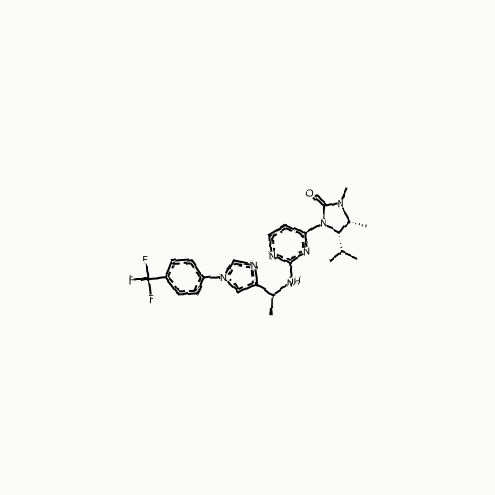 CC(C)[C@H]1[C@@H](C)N(C)C(=O)N1c1ccnc(N[C@@H](C)c2cn(-c3ccc(C(F)(F)F)cc3)cn2)n1